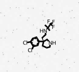 CC(C)(NCC[C@]1(c2ccc(Cl)c(Cl)c2)CCCNC1)C(F)(F)F